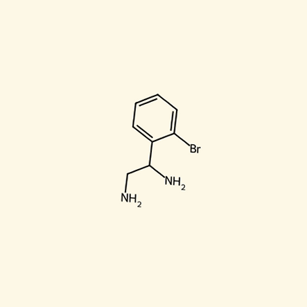 NCC(N)c1ccccc1Br